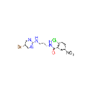 O=C(NCCCNc1ncc(Br)cn1)c1cc([N+](=O)[O-])ccc1Cl